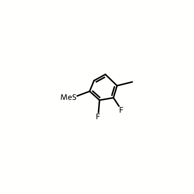 CSc1ccc(C)c(F)c1F